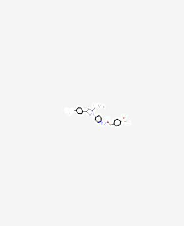 CC[S+]([O-])c1ccc(CC(=O)Nc2ccc(N3CC(c4ccc(C(F)(F)F)cc4)CC3COC)cc2)cc1